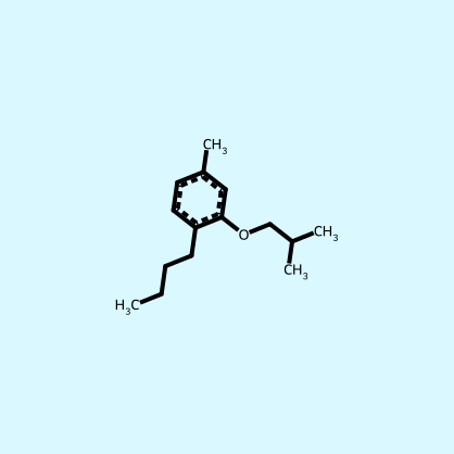 CCCCc1ccc(C)cc1OCC(C)C